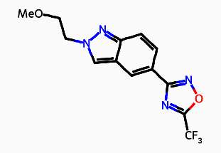 COCCn1cc2cc(-c3noc(C(F)(F)F)n3)ccc2n1